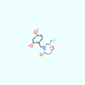 COc1ccc(CN2CC(CF)OCCC2=O)c(OC)c1